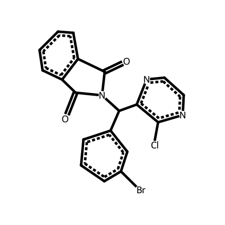 O=C1c2ccccc2C(=O)N1C(c1cccc(Br)c1)c1nccnc1Cl